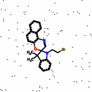 CC1(C)c2ccccc2N(CCBr)C12C=Nc1c(ccc3ccccc13)O2